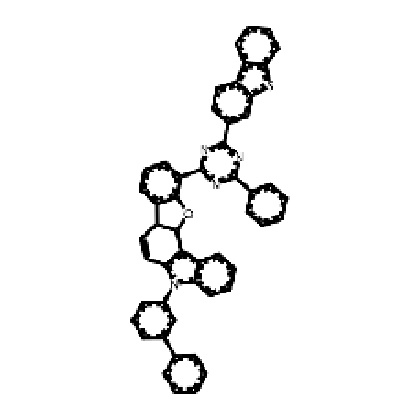 C1=CC2c3cccc(-c4nc(-c5ccccc5)nc(-c5ccc6c(c5)sc5ccccc56)n4)c3OC2c2c1n(-c1cccc(-c3ccccc3)c1)c1ccccc21